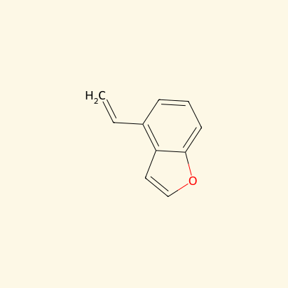 C=Cc1cccc2occc12